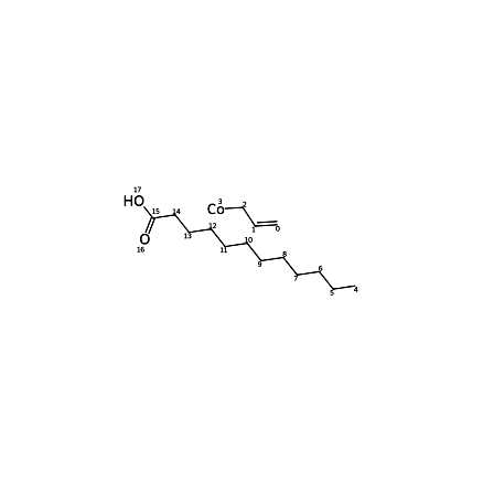 C=C[CH2][Co].CCCCCCCCCCCC(=O)O